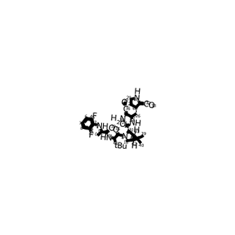 CC(Nc1c(F)cccc1F)C(=O)NC(C(=O)N1C[C@H]2[C@@H]([C@H]1C(=O)NC(C[C@@H]1CCNC1=C=O)C(N)=C=O)C2(C)C)C(C)(C)C